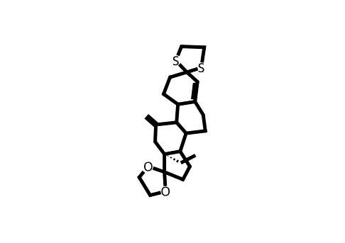 C=C1C[C@@]2(CC)C(CCC23OCCO3)C2CCC3=CC4(CCC3C12)SCCS4